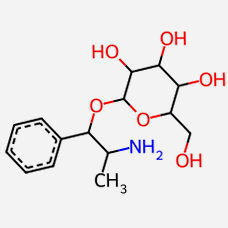 CC(N)C(OC1OC(CO)C(O)C(O)C1O)c1ccccc1